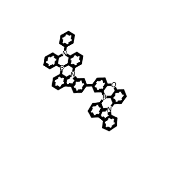 c1ccc(N2c3ccccc3B3c4c2cccc4-n2c4cc(-c5ccc6c(c5)B5c7c(cccc7-n7c8ccccc8c8cccc5c87)O6)ccc4c4cccc3c42)cc1